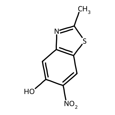 Cc1nc2cc(O)c([N+](=O)[O-])cc2s1